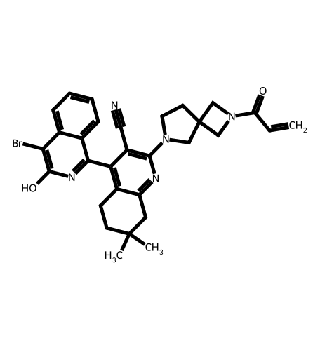 C=CC(=O)N1CC2(CCN(c3nc4c(c(-c5nc(O)c(Br)c6ccccc56)c3C#N)CCC(C)(C)C4)C2)C1